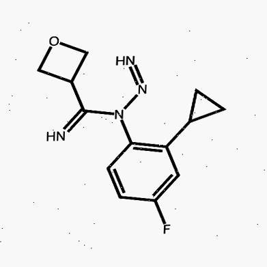 N=NN(C(=N)C1COC1)c1ccc(F)cc1C1CC1